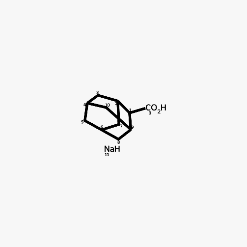 O=C(O)C1C2CC3CC(C2)CC1C3.[NaH]